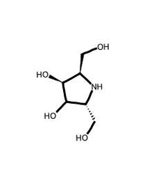 OC[C@H]1N[C@H](CO)[C@H](O)C1O